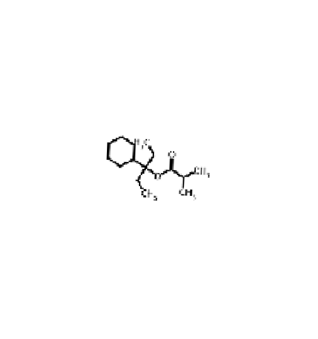 CCC(CC)(OC(=O)C(C)C)C1CCCCC1